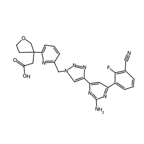 N#Cc1cccc(-c2cc(-c3cn(Cc4cccc(C5(CC(=O)O)CCOC5)n4)nn3)nc(N)n2)c1F